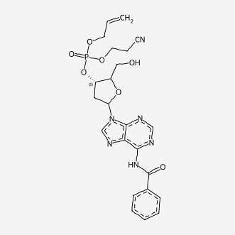 C=CCOP(=O)(OCCC#N)O[C@H]1CC(n2cnc3c(NC(=O)c4ccccc4)ncnc32)OC1CO